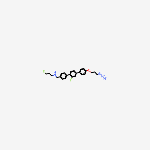 [N-]=[N+]=NCCCOc1ccc(-c2ccc(-c3ccc(CNCCCF)cc3)c(F)c2)cc1